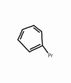 [Pr][c]1ccccc1